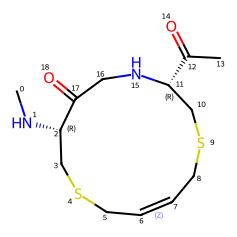 CN[C@H]1CSC/C=C\CSC[C@@H](C(C)=O)NCC1=O